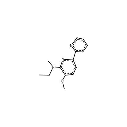 CCN(C)c1nc(-c2ccccn2)ncc1OC